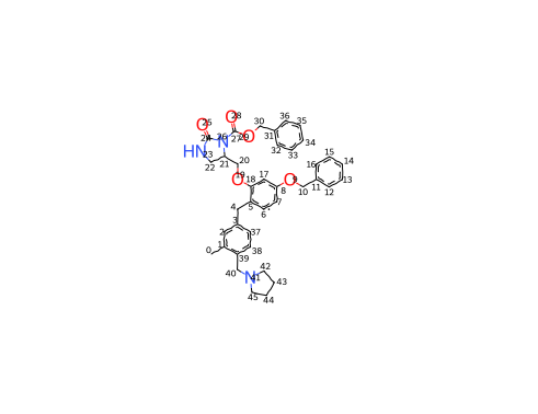 Cc1cc(Cc2[c]cc(OCc3ccccc3)cc2OCC2CNC(=O)N2C(=O)OCc2ccccc2)ccc1CN1CCCC1